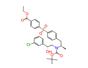 CCOC(=O)c1ccc(S(=O)(=O)c2ccc(C[C@@H](C)N(C[C@H](O)c3cccc(Cl)c3)C(=O)OC(C)(C)C)cc2)cc1